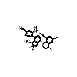 N#Cc1ccc(-c2ccc([C@H]3CC[C@H](F)c4cc(F)cc(C#N)c43)c3c2[C@H](O)C(F)(F)C3)c(N)c1